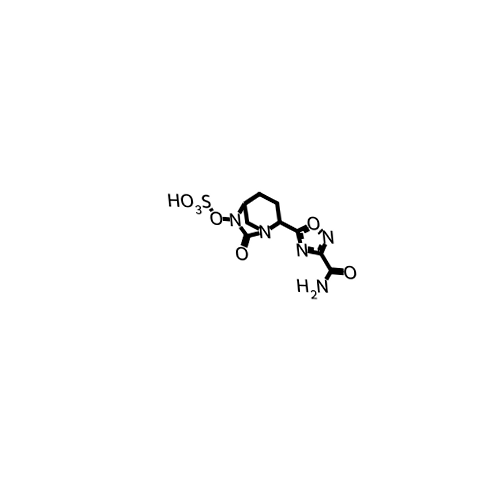 NC(=O)c1noc(C2CCC3CN2C(=O)N3OS(=O)(=O)O)n1